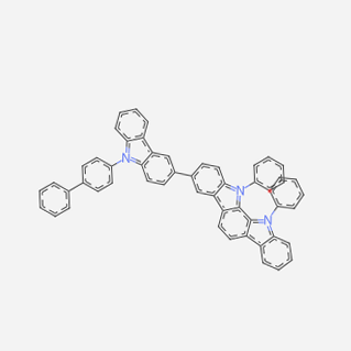 c1ccc(-c2ccc(-n3c4ccccc4c4cc(-c5ccc6c(c5)c5ccc7c8ccccc8n(-c8ccccc8)c7c5n6-c5ccccc5)ccc43)cc2)cc1